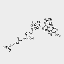 CC(C)(COP(=O)(O)OP(=O)(O)OC[C@H]1O[C@@H](n2cnc3c(N)ncnc32)[C@H](O)[C@@H]1OP(=O)(O)O)[C@@H](O)C(=O)NCCC(=O)NCCS[13C]([13CH3])=O.[Li]